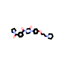 O=C(c1cccc(C(=O)N2CCN(c3ccc(OCCCN4CCCCC4)cc3)C(=O)C2)c1)N1CCCC1